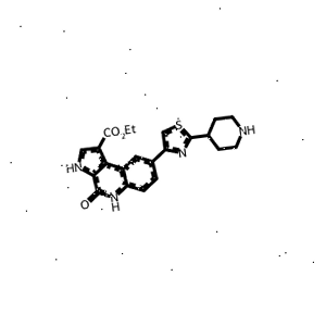 CCOC(=O)c1c[nH]c2c(=O)[nH]c3ccc(-c4csc(C5CCNCC5)n4)cc3c12